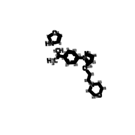 C1=COCN1.CC(C)c1ccc(-n2nccc2OCCN2CCOCC2)cc1